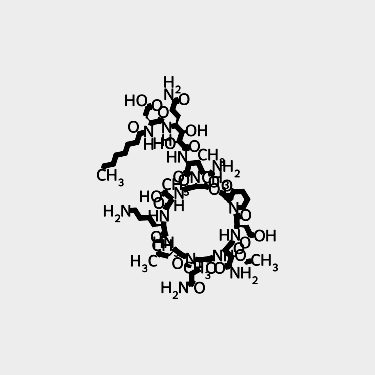 CCCCCCCC(=O)N[C@H](CC(=O)O)C(=O)N[C@@H](CCC(N)=O)[C@@H](O)[C@@H](O)C(=O)N[C@@H]1C(=O)N([C@H]2C(=O)NC(C(C)O)C(=O)N[C@H](CCCCN)C(=O)N[C@@H](CC(C)C)C(=O)N(C)[C@@H](CCC(N)=O)C(=O)N[C@@H]([C@H](OCC)C(N)=O)C(=O)N[C@H](CC(=O)O)C(=O)N3CCCC[C@H]3C(=O)O[C@@H]2C)[C@@H](C(N)=O)[C@@H]1C